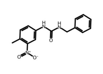 Cc1ccc(NC(=O)NCc2ccccc2)cc1[N+](=O)[O-]